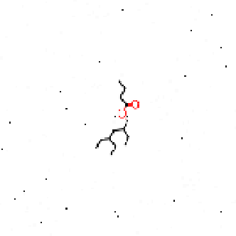 CCCC(=O)OCC(CC)CC(CC)CC